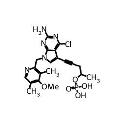 COc1c(C)cnc(Cn2cc(C#CCC(C)OP(=O)(O)O)c3c(Cl)nc(N)nc32)c1C